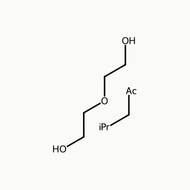 CC(=O)CC(C)C.OCCOCCO